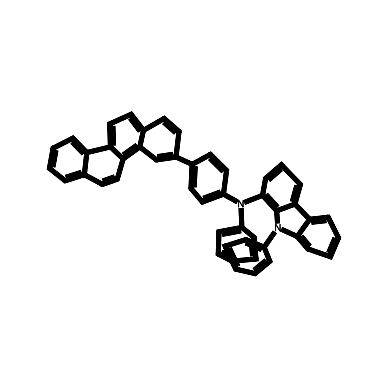 c1ccc(N(c2ccc(-c3ccc4ccc5c6ccccc6ccc5c4c3)cc2)c2cccc3c4ccccc4n(-c4ccccc4)c23)cc1